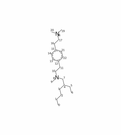 CCCCC(CC)CN(C)CCc1ccc(CCN(C)C)cc1